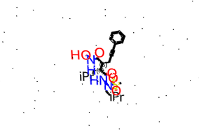 CC(C)C[C@@H](C(=O)NN(CC(C)C)S(C)(=O)=O)[C@H](CC#Cc1ccccc1)C(=O)NO